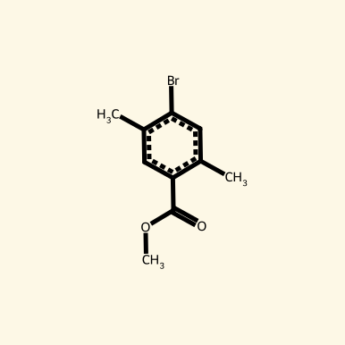 COC(=O)c1cc(C)c(Br)cc1C